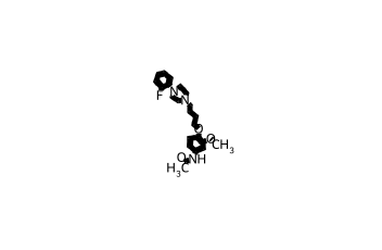 COc1cc(NC(C)=O)ccc1OCCCCN1CCN(c2ccccc2F)CC1